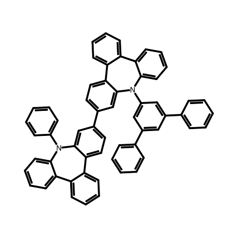 c1ccc(-c2cc(-c3ccccc3)cc(N3c4ccccc4-c4ccccc4-c4ccc(-c5ccc6c(c5)N(c5ccccc5)c5ccccc5-c5ccccc5-6)cc43)c2)cc1